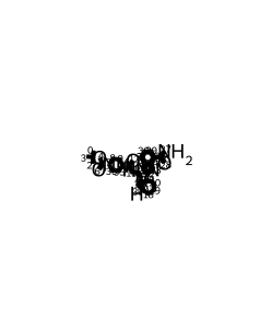 CC(C)(C)OC(=O)N1CCN(C(=O)CCN2C[C@@H]3CCC[C@@]2(c2nc4c(C(N)=O)cccc4[nH]2)C3)CC1